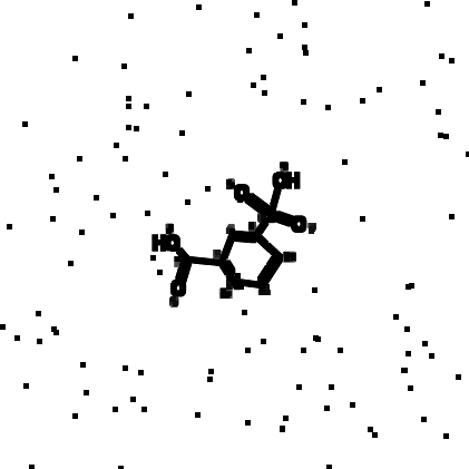 O=C(O)c1cc(S(=O)(=O)O)ccn1